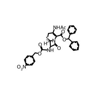 CC(=O)NC1=C(C(=O)OC(c2ccccc2)c2ccccc2)N2C(=O)C(NC(=O)OCc3ccc([N+](=O)[O-])cc3)[C@H]2SC1